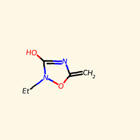 C=C1N=C(O)N(CC)O1